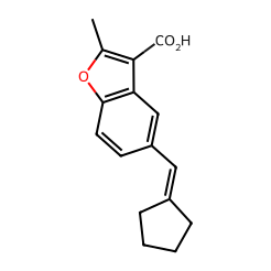 Cc1oc2ccc(C=C3CCCC3)cc2c1C(=O)O